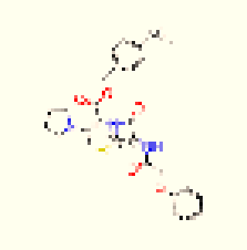 O=C(COc1ccccc1)N[C@@H]1C(=O)N2C(C(=O)OCc3ccc([N+](=O)[O-])cc3)=C(N3CCCC3)CS[C@@H]12